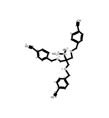 C#Cc1ccc(COCC(COCc2ccc(C#C)cc2)(COCc2ccc(C#C)cc2)N(C(=O)O)C(C)(C)C)cc1